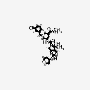 CNC(=O)C1CC(NC(=O)N2Cc3nc(NC4CCOCC4)ncc3C2(C)C)CN(Cc2cccc(Cl)c2)C1